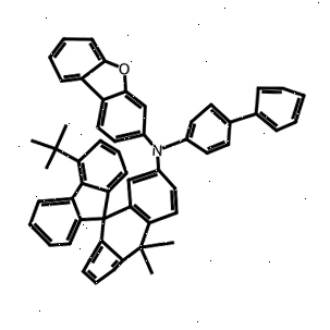 CC(C)(C)c1cccc2c1-c1ccccc1C21c2ccccc2C(C)(C)c2ccc(N(c3ccc(-c4ccccc4)cc3)c3ccc4c(c3)oc3ccccc34)cc21